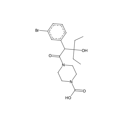 CCC(O)(CC)C(C(=O)N1CCN(C(=O)O)CC1)c1cccc(Br)c1